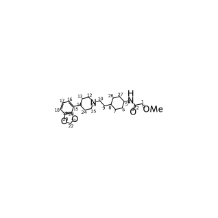 COCC(=O)NC1CCC(CCN2CCC(c3cccc4c3OCO4)CC2)CC1